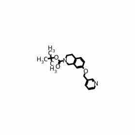 CC(C)(C)OC(=O)N1CCc2ccc(OCc3cccnc3)cc2C1